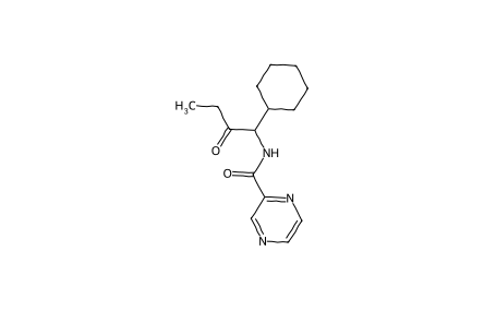 CCC(=O)C(NC(=O)c1cnccn1)C1CCCCC1